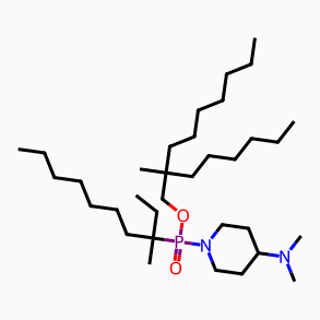 CCCCCCCC(C)(CCCCCC)COP(=O)(N1CCC(N(C)C)CC1)C(C)(CC)CCCCCCC